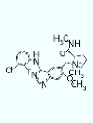 CNC(=O)[C@H]1CCC[N+]1(C)Cc1cc2c(Nc3cccc(Cl)c3F)ncnc2cc1OC